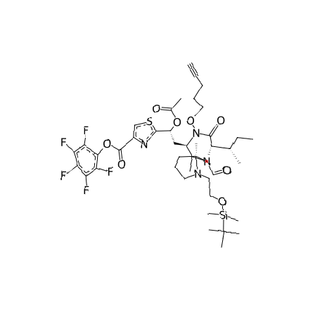 C#CCCCON(C(=O)[C@H]([C@@H](C)CC)N(C=O)[C@]1(C)CCCN1CCO[Si](C)(C)C(C)(C)C)[C@H](C[C@@H](OC(C)=O)c1nc(C(=O)Oc2c(F)c(F)c(F)c(F)c2F)cs1)C(C)C